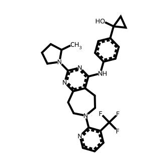 CC1CCCN1c1nc2c(c(Nc3ccc(C4(O)CC4)cc3)n1)CCN(c1ncccc1C(F)(F)F)CC2